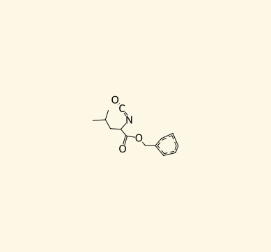 CC(C)CC(N=C=O)C(=O)OCc1ccccc1